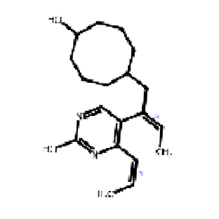 C/C=C\c1nc(O)ncc1/C(=C\C)CC1CCCC(O)CCC1